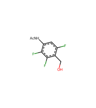 CC(=O)Nc1cc(F)c(CO)c(F)c1F